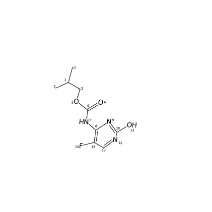 CC(C)COC(=O)Nc1nc(O)ncc1F